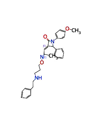 COc1ccc(N2C(=O)/C(=C/C(C)=N/OCCCNCCc3ccccc3)C2c2ccccc2)cc1